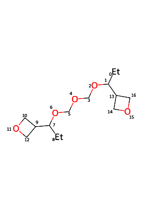 CCC(OCOCOC(CC)C1COC1)C1COC1